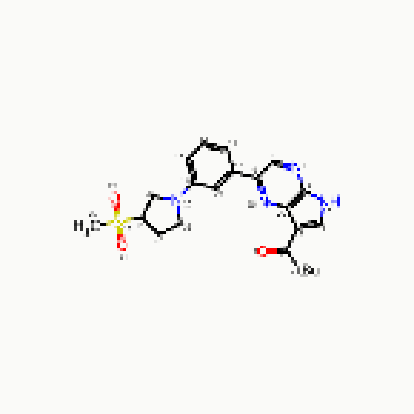 CC(C)(C)C(=O)c1c[nH]c2ncc(-c3cccc(N4CCC(S(C)(=O)=O)C4)c3)nc12